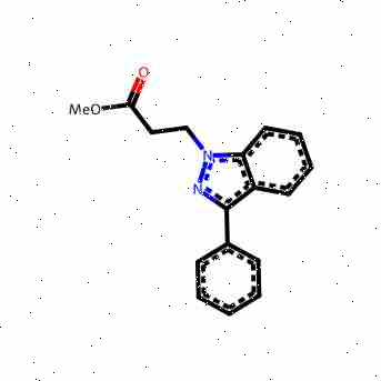 COC(=O)CCn1nc(-c2ccccc2)c2ccccc21